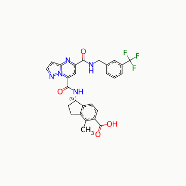 Cc1c(C(=O)O)ccc2c1CC[C@@H]2NC(=O)c1cc(C(=O)NCc2cccc(C(F)(F)F)c2)nc2ccnn12